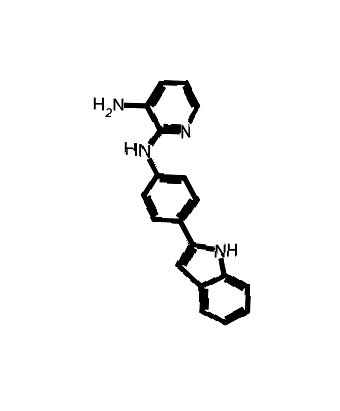 Nc1cccnc1Nc1ccc(-c2cc3ccccc3[nH]2)cc1